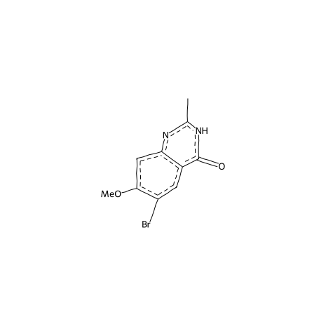 COc1cc2nc(C)[nH]c(=O)c2cc1Br